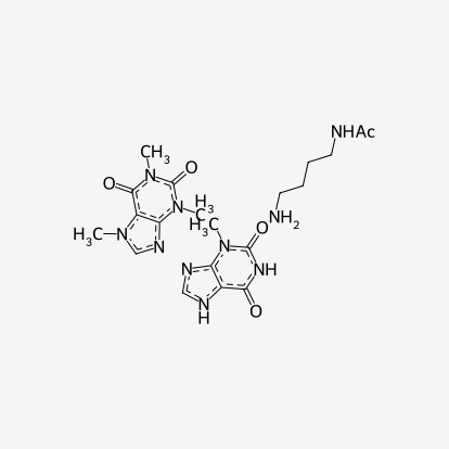 CC(=O)NCCCCN.Cn1c(=O)[nH]c(=O)c2[nH]cnc21.Cn1c(=O)c2c(ncn2C)n(C)c1=O